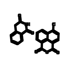 O=C1Cc2ccccc2C(=O)N1.O=C1OC(=O)c2ccc(Cl)c3cccc1c23